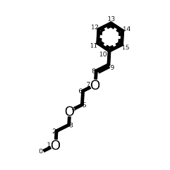 COCCOCCOC=Cc1ccccc1